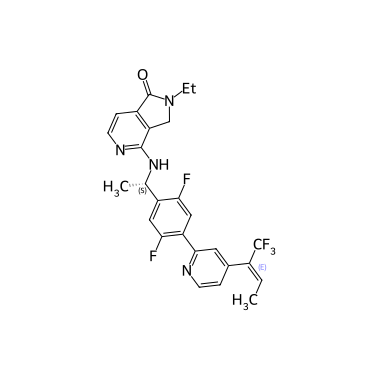 C/C=C(\c1ccnc(-c2cc(F)c([C@H](C)Nc3nccc4c3CN(CC)C4=O)cc2F)c1)C(F)(F)F